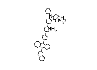 C/C=C\c1c(C)c2cc(C/C=C\C(=C/N)c3ccc(-c4c5c(c(-c6ccc7ccccc7c6)c6c4CCC=C6)C=CCC=C5)cc3)ccc2n1-c1ccccc1